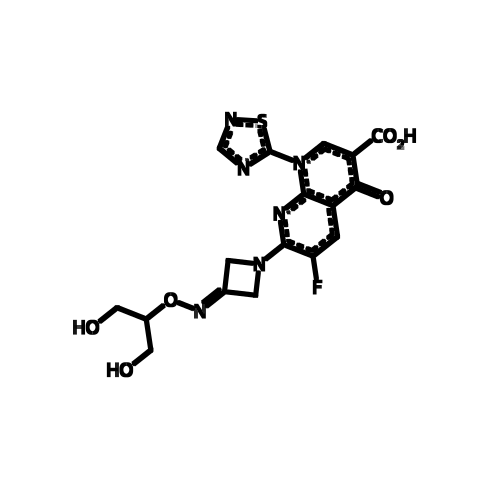 O=C(O)c1cn(-c2ncns2)c2nc(N3CC(=NOC(CO)CO)C3)c(F)cc2c1=O